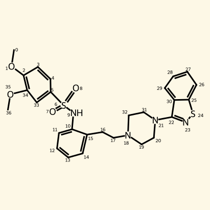 COc1ccc(S(=O)(=O)Nc2ccccc2CCN2CCN(c3nsc4ccccc34)CC2)cc1OC